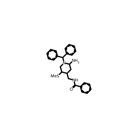 CSC1CN(C(c2ccccc2)c2ccccc2)C(N)CC1CNC(=O)c1ccccc1